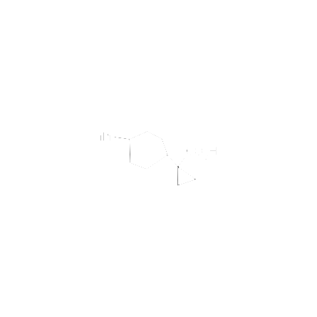 CC(C)C1CCC(C2(C(=O)O)CC2)CC1